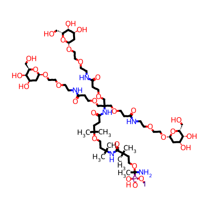 CC(C)(CCOC(C)(C)CCC(=O)NC(COCCC(=O)NCCOCCO[C@H]1C[C@@H](O)[C@@H](O)[C@@H](CO)O1)(COCCC(=O)NCCOCCO[C@H]1C[C@@H](O)[C@@H](O)[C@@H](CO)O1)COCCC(=O)NCCOCCO[C@H]1C[C@@H](O)[C@@H](O)[C@@H](CO)O1)NC(=O)C(C)(C)CCOC(C)(N)P(=O)(O)OI